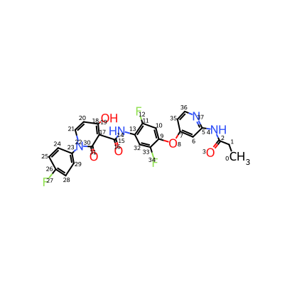 CCC(=O)Nc1cc(Oc2cc(F)c(NC(=O)c3c(O)ccn(-c4ccc(F)cc4)c3=O)cc2F)ccn1